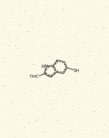 O=Cc1cc2cc(S)ccc2[nH]1